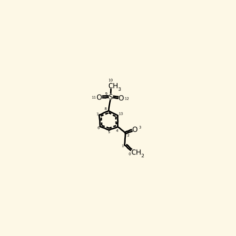 C=CC(=O)c1cccc(S(C)(=O)=O)c1